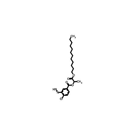 CCCCCCCCCCCCOC(=O)C(C)OC(=O)c1ccc(Cl)c(N=N)c1